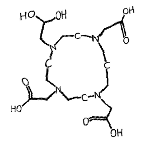 O=C(O)CN1CCCN(CC(=O)O)CCN(CC(O)O)CCN(CC(=O)O)CC1